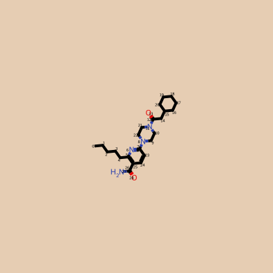 CCCCCc1nc(N2CCN(C(=O)CC3CCCCC3)CC2)ccc1C(N)=O